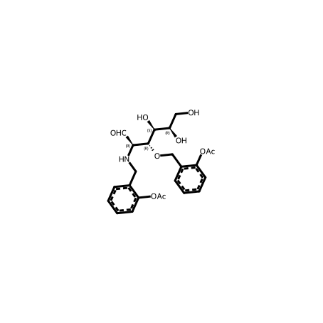 CC(=O)Oc1ccccc1CN[C@@H](C=O)[C@@H](OCc1ccccc1OC(C)=O)[C@@H](O)[C@H](O)CO